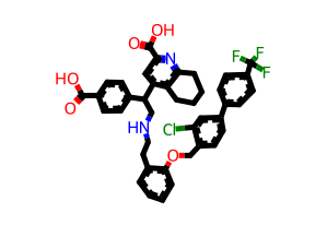 O=C(O)c1ccc(C(CNCCc2ccccc2OCc2ccc(-c3ccc(C(F)(F)F)cc3)cc2Cl)c2cc(C(=O)O)nc3c2CCCC3)cc1